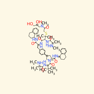 CN[C@@H](C)C(=O)NC(C(=O)N[C@@H](Cc1ccc([C@H]2C[C@@H](C(=O)N[C@@H]3CCCc4ccccc43)N(C(=O)[C@@H](NC(=O)[C@H](C)NC)C(C)(C)C)C2)cc1)C(=O)NC1CCCc2ccccc21)C(C)(C)SCC(=O)N(C)C[C@@H](O)CO